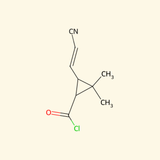 CC1(C)C(/C=C/C#N)C1C(=O)Cl